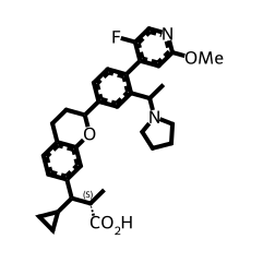 COc1cc(-c2ccc(C3CCc4ccc(C(C5CC5)[C@H](C)C(=O)O)cc4O3)cc2C(C)N2CCCC2)c(F)cn1